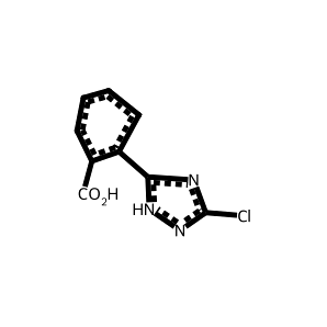 O=C(O)c1ccccc1-c1nc(Cl)n[nH]1